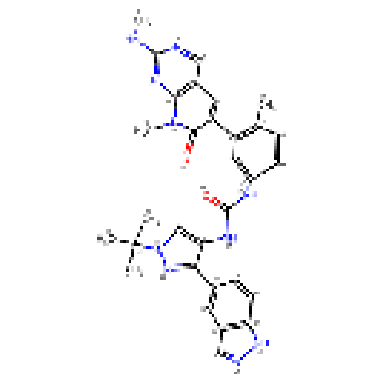 CNc1ncc2cc(-c3cc(NC(=O)Nc4cn(C(C)(C)C)nc4-c4ccc5[nH]ncc5c4)ccc3C)c(=O)n(C)c2n1